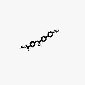 CCOC(=O)c1ccc(CC(=O)c2ccc(-c3ccc(O)cc3)cc2)cc1